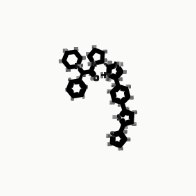 O=C([C@@H](c1ccccc1)N1CCCCC1)N1CCC[C@@H]1c1ncc(-c2ccc(-c3ccc(-c4cccs4)s3)cc2)[nH]1